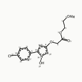 COCCOC(=O)COc1nc(-c2ccc(Cl)cn2)n(O)n1